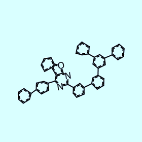 c1ccc(-c2ccc(-c3nc(-c4cccc(-c5cccc(-c6cc(-c7ccccc7)cc(-c7ccccc7)c6)c5)c4)nc4oc5ccccc5c34)cc2)cc1